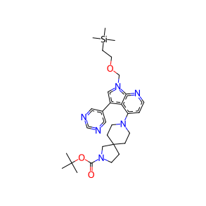 CC(C)(C)OC(=O)N1CCC2(CCN(c3ccnc4c3c(-c3cncnc3)cn4COCC[Si](C)(C)C)CC2)C1